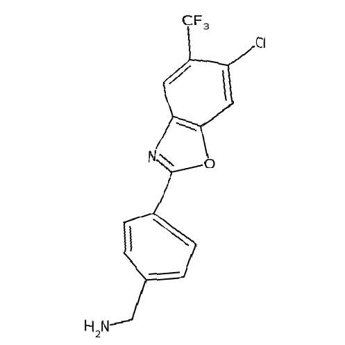 NCc1ccc(-c2nc3cc(C(F)(F)F)c(Cl)cc3o2)cc1